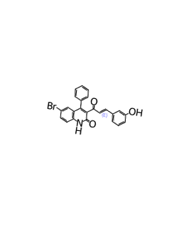 O=C(/C=C/c1cccc(O)c1)c1c(-c2ccccc2)c2cc(Br)ccc2[nH]c1=O